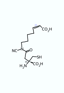 N#CN(CCCC/C=C\C(=O)O)C(=O)C[C@@](N)(CS)C(=O)O